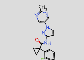 Cc1ncc(-n2ccc(NC(=O)C3(c4ccccc4F)CC3)n2)cn1